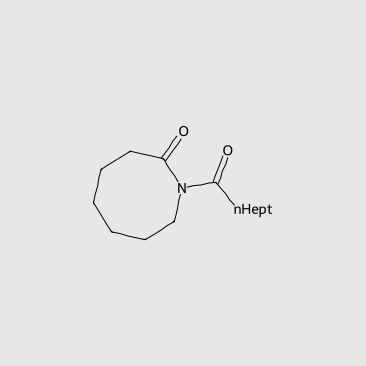 CCCCCCCC(=O)N1CCCCCCC1=O